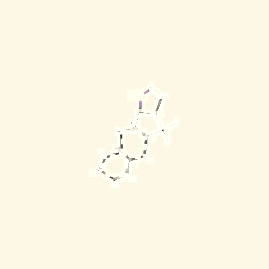 CC1(C)C2=CC=[PH]=C2c2cc3ccccc3cc21